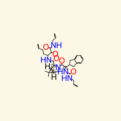 C=CCCC(NC(=O)[C@@H]1[C@H]2[C@@H](CN1C(=O)[C@@H](NC(=O)NCC=C)C1Cc3ccccc3C1)C2(C)C)C(=O)C(=O)NCC=C